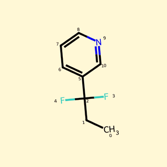 CCC(F)(F)c1cccnc1